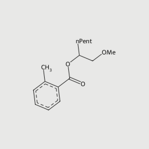 CCCCCC(COC)OC(=O)c1ccccc1C